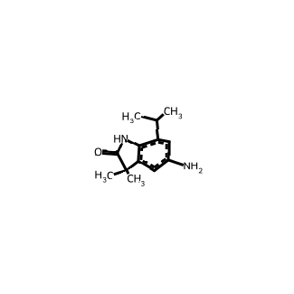 CC(C)c1cc(N)cc2c1NC(=O)C2(C)C